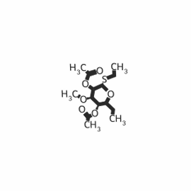 CCS[C@@H]1OC(CC)[C@@H](OC(C)=O)[C@@H](OC)C1OC(C)=O